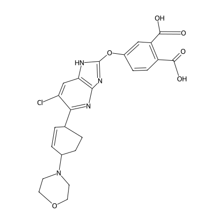 O=C(O)c1ccc(Oc2nc3nc(C4C=CC(N5CCOCC5)CC4)c(Cl)cc3[nH]2)cc1C(=O)O